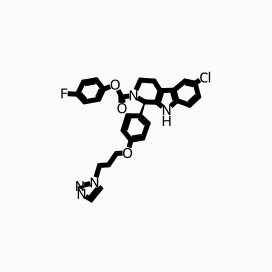 O=C(Oc1ccc(F)cc1)N1CCc2c([nH]c3ccc(Cl)cc23)[C@H]1c1ccc(OCCCn2ccnn2)cc1